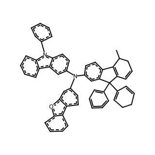 CC1CC=CC2=C1c1ccc(N(c3ccc4c(c3)oc3ccccc34)c3ccc4c(c3)c3ccccc3n4-c3ccccc3)cc1C2(C1=CC=C=C=C1)C1=CCCC=C1